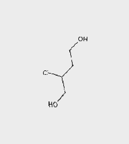 OCCC(Cl)CO